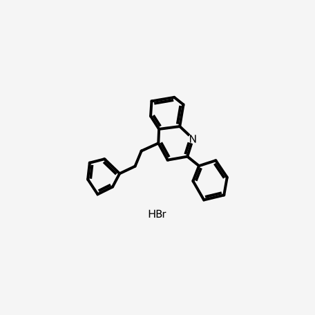 Br.c1ccc(CCc2cc(-c3ccccc3)nc3ccccc23)cc1